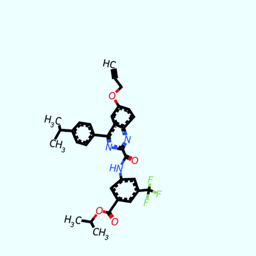 C#CCOc1ccc2nc(C(=O)Nc3cc(C(=O)OC(C)C)cc(C(F)(F)F)c3)nc(-c3ccc(C(C)C)cc3)c2c1